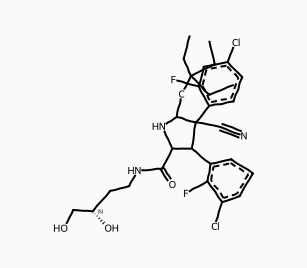 CCC(CC)(CC)CC1NC(C(=O)NCC[C@H](O)CO)C(c2cccc(Cl)c2F)C1(C#N)c1ccc(Cl)cc1F